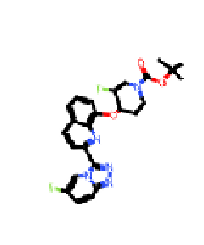 CC(C)(C)OC(=O)N1CCC(Oc2cccc3ccc(-c4nnc5ccc(F)cn45)nc23)C(F)C1